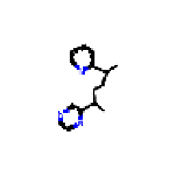 CC(CCC(C)c1cnccn1)c1ccccn1